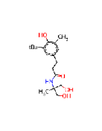 Cc1cc(CCC(=O)NC(C)(CO)CO)cc(C(C)(C)C)c1O